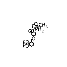 COC(=O)C(F)(P)C1COc2cc(OCc3cccc4c3OC(F)(F)O4)ccc21